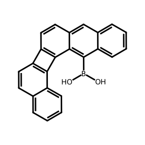 OB(O)c1c2ccccc2cc2ccc3c(c12)-c1c-3ccc2ccccc12